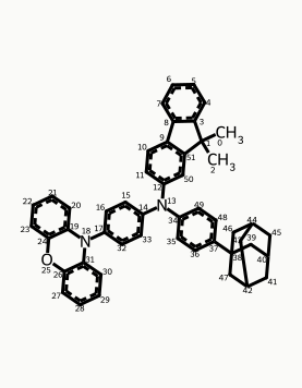 CC1(C)c2ccccc2-c2ccc(N(c3ccc(N4c5ccccc5Oc5ccccc54)cc3)c3ccc(C45CC6CC(CC(C6)C4)C5)cc3)cc21